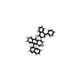 C1=c2c(Oc3ccc(-c4ccccc4)c4ccccc34)c3ccncc3c(-c3cccc4ccccc34)c2=CCC1